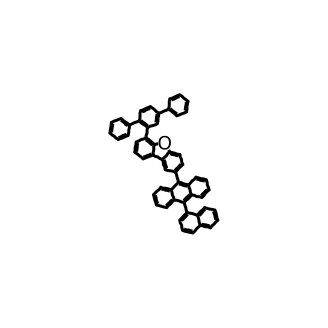 c1ccc(-c2ccc(-c3ccccc3)c(-c3cccc4c3oc3ccc(-c5c6ccccc6c(-c6cccc7ccccc67)c6ccccc56)cc34)c2)cc1